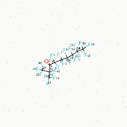 O=C(C(F)(F)C(F)(F)C(F)(F)C(F)(F)C(F)(F)C(F)(F)F)C(F)(C(F)(F)F)C(F)(F)F